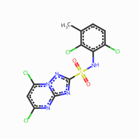 Cc1ccc(Cl)c(NS(=O)(=O)c2nc3nc(Cl)cc(Cl)n3n2)c1Cl